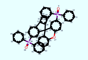 O=P(c1ccccc1)(c1ccccc1)c1ccc2c(c1)C1(c3ccccc3O2)c2ccccc2-c2ccc(P(=O)(c3ccccc3)c3ccccc3)cc21